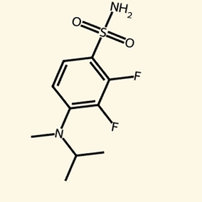 CC(C)N(C)c1ccc(S(N)(=O)=O)c(F)c1F